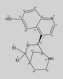 CCC1(CC)O[C@@H](c2ccnc3ccc(O)cc23)C2CC1CCN2